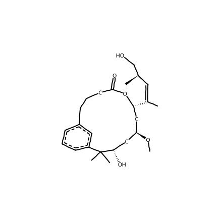 CO[C@@H]1C[C@@H](/C(C)=C\[C@@H](C)CO)OC(=O)CCCc2cccc(c2)C(C)(C)[C@@H](O)C1